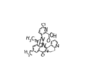 Cc1cc([C@@H](C)Nc2ccc(Cl)nc2C(=O)O)c2nc3n(c(=O)c2c1)CCc1ncccc1-3